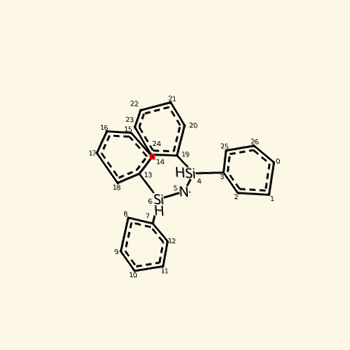 c1ccc([SiH]([N][SiH](c2ccccc2)c2ccccc2)c2ccccc2)cc1